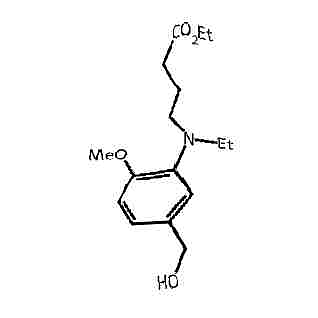 CCOC(=O)CCCN(CC)c1cc(CO)ccc1OC